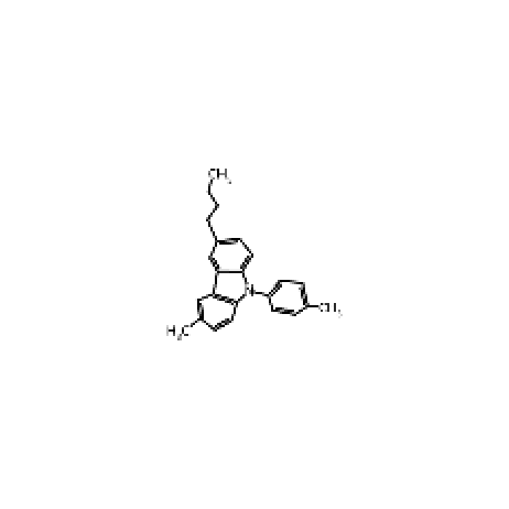 CCCCc1ccc2c(c1)c1cc(C)ccc1n2-c1ccc(C)cc1